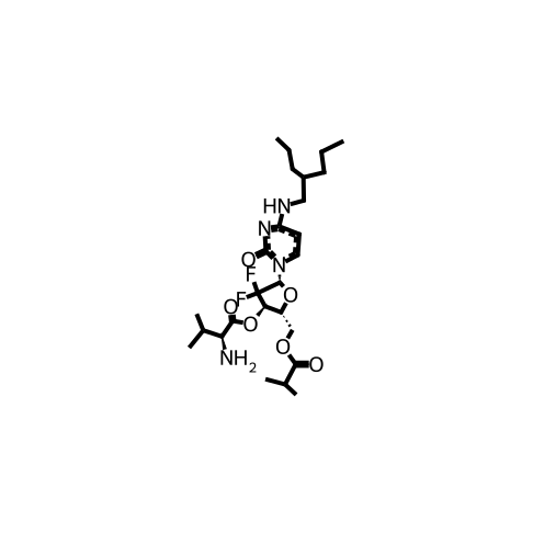 CCCC(CCC)CNc1ccn([C@@H]2O[C@H](COC(=O)C(C)C)[C@@H](OC(=O)[C@@H](N)C(C)C)C2(F)F)c(=O)n1